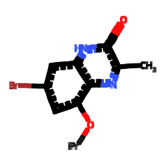 Cc1nc2c(OC(C)C)cc(Br)cc2[nH]c1=O